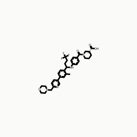 Cc1cc(-c2ccc(CN3CCOCC3)nc2)ccc1C(CCC(F)(F)F)Nc1ccc(C(=O)N2CCC[C@@H](C(=O)O)C2)cc1